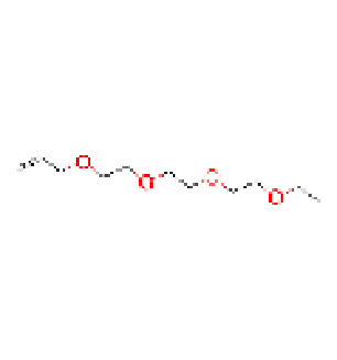 C=CCOCCOCCOCCOCC